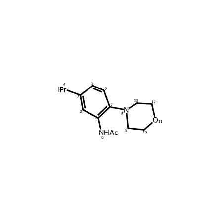 CC(=O)Nc1cc(C(C)C)ccc1N1CCOCC1